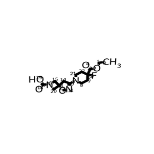 CCOC(=O)C1(F)CCN(C2=NOC3(C2)CN(C(=O)O)C3)CC1